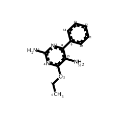 CCOc1nc(N)nc(-c2cc[c]cc2)c1N